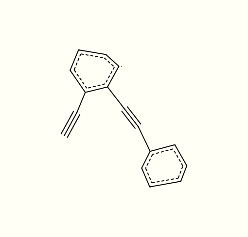 C#Cc1ccc[c]c1C#Cc1ccccc1